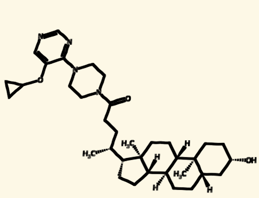 C[C@H](CCC(=O)N1CCN(c2ncncc2OC2CC2)CC1)[C@H]1CC[C@H]2[C@@H]3CC[C@H]4C[C@@H](O)CC[C@]4(C)[C@H]3CC[C@]12C